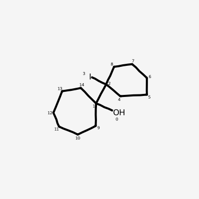 OC1(C2(I)CCCCC2)CCCCCC1